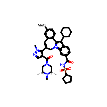 COc1ccc2c(c1)C=C(c1c(C(=O)N3C[C@@H](C)N(C)[C@@H](C)C3)cnn1C)Cn1c-2c(C2CCCCC2)c2ccc(C(=O)NS(=O)(=O)C3CCCC3)cc21